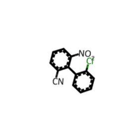 N#Cc1cccc([N+](=O)[O-])c1-c1ccccc1Cl